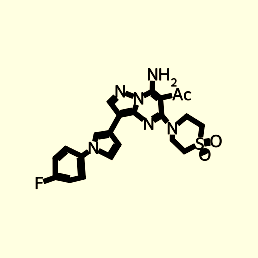 CC(=O)c1c(N2CCS(=O)(=O)CC2)nc2c(-c3ccn(-c4ccc(F)cc4)c3)cnn2c1N